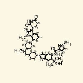 CN(CC1CCC(n2cc3cc(NC(=O)c4nn(C)cc4Cl)c(C(C)(C)O)cc3n2)CC1)C1CCN(c2cccc3c2n(C)c(=O)n3C2CCC(=O)NC2=O)CC1